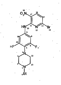 CCN1CCN(c2c(F)cc(Nc3nc(Br)ccc3[N+](=O)[O-])cc2F)CC1